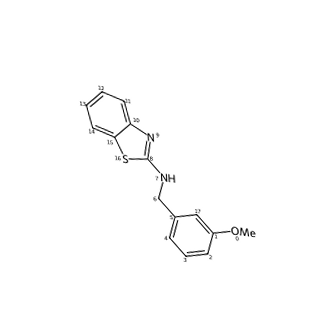 COc1cccc(CNc2nc3ccccc3s2)c1